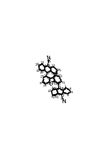 N#Cc1c2ccccc2c(-c2cccc3c2oc2cccc(-c4c5ccccc5c(C#N)c5ccccc45)c23)c2ccccc12